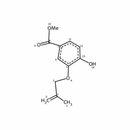 C=C(C)COc1cc(C(=O)OC)ccc1O